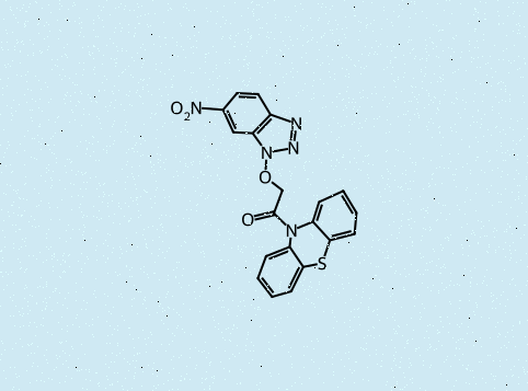 O=C(COn1nnc2ccc([N+](=O)[O-])cc21)N1c2ccccc2Sc2ccccc21